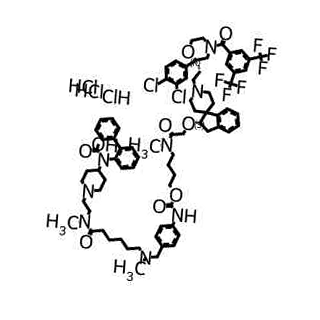 CN(CCCCCC(=O)N(C)CCN1CCC(N(C(=O)O)c2ccccc2-c2ccccc2)CC1)Cc1ccc(NC(=O)OCCCCN(C)C(=O)CO[C@H]2Cc3ccccc3C23CCN(CC[C@@]2(c4ccc(Cl)c(Cl)c4)CN(C(=O)c4cc(C(F)(F)F)cc(C(F)(F)F)c4)CCO2)CC3)cc1.Cl.Cl.Cl